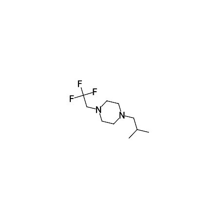 CC(C)CN1CCN(CC(F)(F)F)CC1